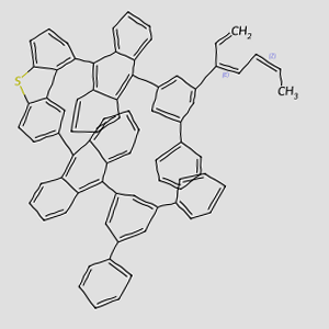 C=C/C(=C\C=C/C)c1cc(-c2ccccc2)cc(-c2c3ccccc3c(-c3cccc4sc5ccc(-c6c7ccccc7c(-c7cc(-c8ccccc8)cc(-c8ccccc8)c7)c7ccccc67)cc5c34)c3ccccc23)c1